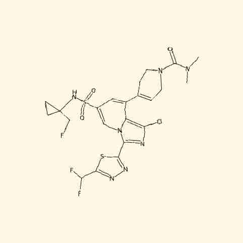 CN(C)C(=O)N1CC=C(c2cc(S(=O)(=O)NC3(CF)CC3)cn3c(-c4nnc(C(F)F)s4)nc(Cl)c23)CC1